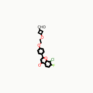 O=CC1CC(OCCOc2ccc(-c3cc(=O)c4ccc(F)c(Cl)c4o3)cc2)C1